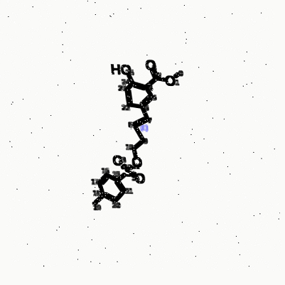 COC(=O)c1cc(/C=C/CCOS(=O)(=O)c2ccc(C)cc2)ccc1O